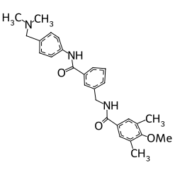 COc1c(C)cc(C(=O)NCc2cccc(C(=O)Nc3ccc(CN(C)C)cc3)c2)cc1C